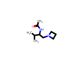 CC(=O)NC(CN1CCC1)C(C)C